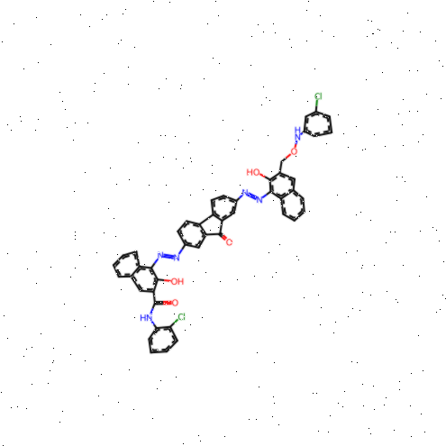 O=C1c2cc(N=Nc3c(O)c(CONc4cccc(Cl)c4)cc4ccccc34)ccc2-c2ccc(N=Nc3c(O)c(C(=O)Nc4ccccc4Cl)cc4ccccc34)cc21